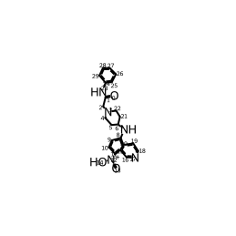 O=C(CN1CCC(Nc2ccc([N+](=O)O)c3cnccc23)CC1)Nc1ccccc1